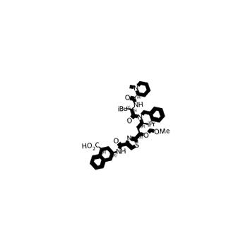 CC[C@H](C)[C@H](NC(=O)[C@H]1CCCCN1C)C(=O)N(Cc1ccccc1)[C@H](C[C@@H](OCOC)c1nc(C(=O)N[C@H]2Cc3ccccc3[C@H](C(=O)O)C2)cs1)C(C)C